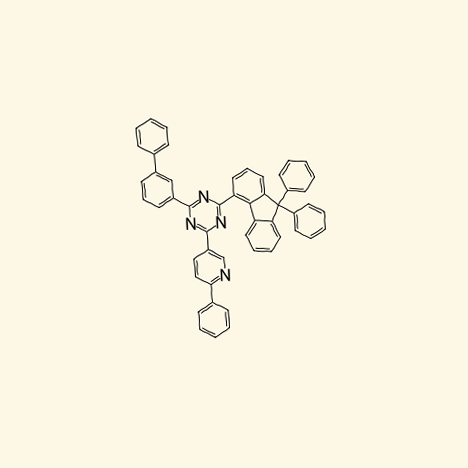 c1ccc(-c2cccc(-c3nc(-c4ccc(-c5ccccc5)nc4)nc(-c4cccc5c4-c4ccccc4C5(c4ccccc4)c4ccccc4)n3)c2)cc1